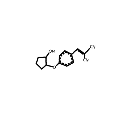 N#CC(C#N)=Cc1ccc(OC2CCCC2O)cc1